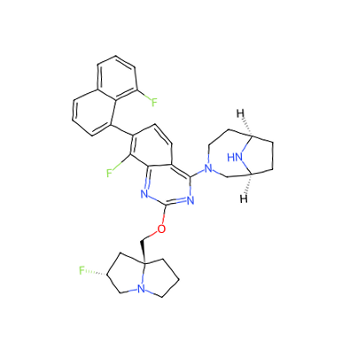 Fc1c(-c2cccc3cccc(F)c23)ccc2c(N3CC[C@H]4CC[C@@H](C3)N4)nc(OC[C@@]34CCCN3C[C@H](F)C4)nc12